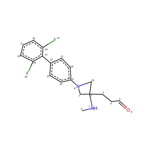 CNC1(CCC=O)CN(c2ccc(-c3c(F)cccc3F)cc2)C1